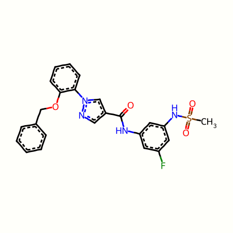 CS(=O)(=O)Nc1cc(F)cc(NC(=O)c2cnn(-c3ccccc3OCc3ccccc3)c2)c1